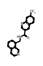 O=C(NCc1cccc2ccncc12)c1cnc2cc(C(F)(F)F)ccc2c1